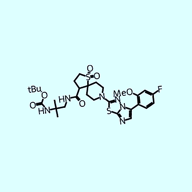 COc1cc(F)ccc1-c1cnc2sc(N3CCC4(CC3)C(C(=O)NCC(C)(C)NC(=O)OC(C)(C)C)CCS4(=O)=O)nn12